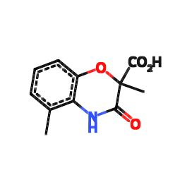 Cc1cccc2c1NC(=O)C(C)(C(=O)O)O2